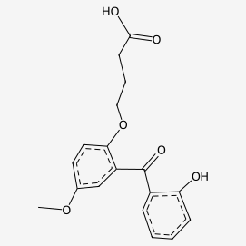 COc1ccc(OCCCC(=O)O)c(C(=O)c2ccccc2O)c1